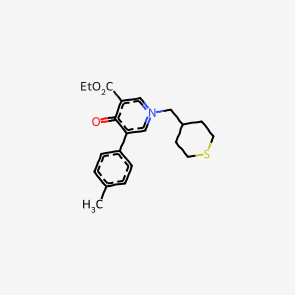 CCOC(=O)c1cn(CC2CCSCC2)cc(-c2ccc(C)cc2)c1=O